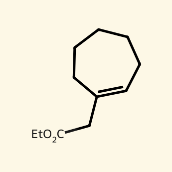 CCOC(=O)CC1=CCCCCC1